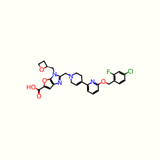 O=C(O)c1cc2nc(CN3CC=C(c4cccc(OCc5ccc(Cl)cc5F)n4)CC3)n(C[C@@H]3CCO3)c2o1